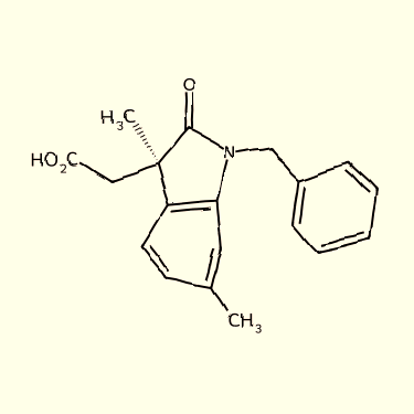 Cc1ccc2c(c1)N(Cc1ccccc1)C(=O)[C@]2(C)CC(=O)O